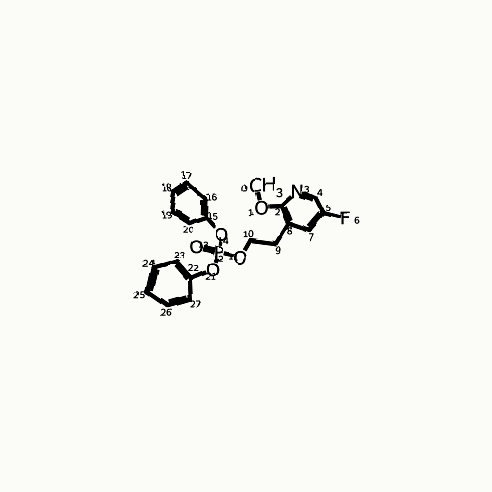 COc1ncc(F)cc1CCOP(=O)(Oc1ccccc1)Oc1ccccc1